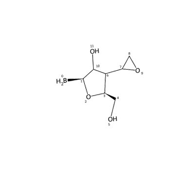 B[C@@H]1O[C@H](CO)C(C2CO2)C1O